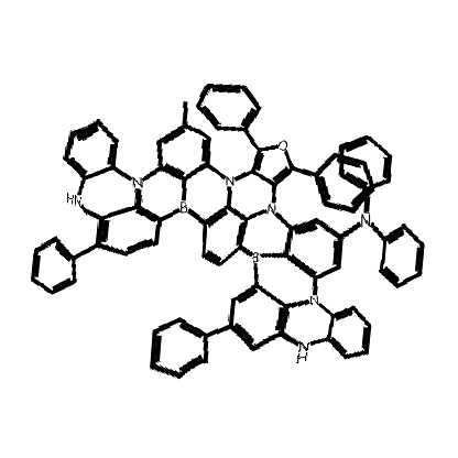 Cc1cc2c3c(c1)N1c4c(ccc5c4N(c4cc(N(c6ccccc6)c6ccccc6)cc6c4B5c4cc(-c5ccccc5)cc5c4N6c4ccccc4N5)c4c(-c5ccccc5)oc(-c5ccccc5)c41)B3c1ccc(-c3ccccc3)c3c1N2c1ccccc1N3